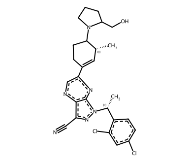 C[C@@H]1C=C(c2cnc3c(C#N)nn([C@H](C)c4ccc(Cl)cc4Cl)c3n2)CCC1N1CCCC1CO